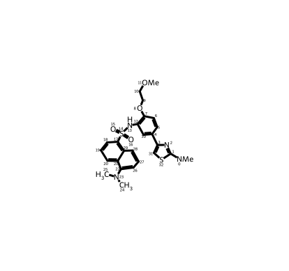 CNc1nc(-c2ccc(OCCOC)c(NS(=O)(=O)c3cccc4c(N(C)C)cccc34)c2)cs1